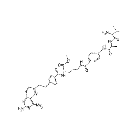 COC(=O)[C@H](CCCNC(=O)c1ccc(NC(=O)[C@H](C)NC(=O)[C@@H](N)C(C)C)cc1)NC(=O)c1ccc(CCc2cnc3nc(N)nc(N)c3n2)cc1